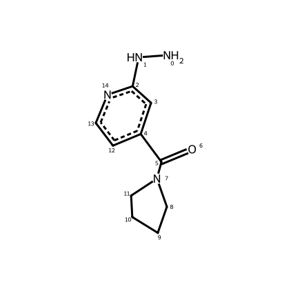 NNc1cc(C(=O)N2CCCC2)ccn1